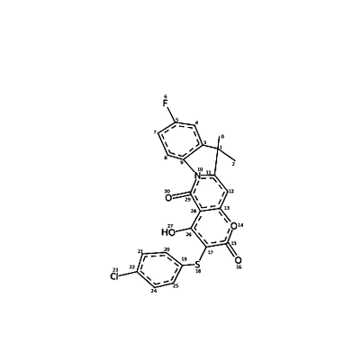 CC1(C)c2cc(F)ccc2-n2c1cc1oc(=O)c(Sc3ccc(Cl)cc3)c(O)c1c2=O